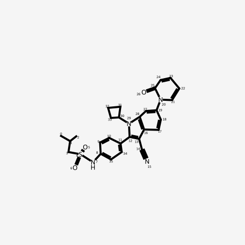 CC(C)CS(=O)(=O)Nc1ccc(-c2c(C#N)c3ccc(-n4ccccc4=O)cc3n2C2CCC2)cc1